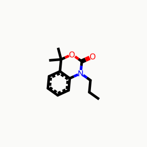 CCCN1C(=O)OC(C)(C)c2ccccc21